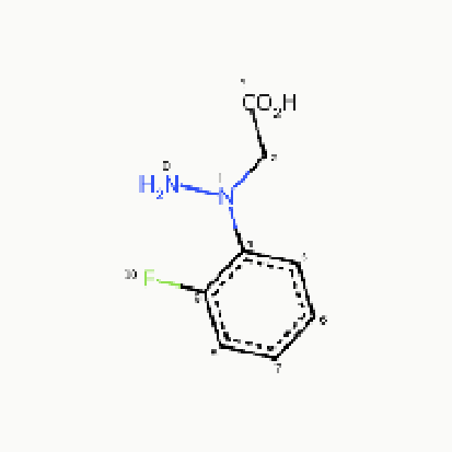 NN(CC(=O)O)c1ccccc1F